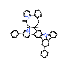 C=C1CC2(C)[n+]3cc(-c4ccccc4)ccc3-c3cc4c5cc(-c6ccccc6)cc6c7ccccc7n(c4cc3C2(C)CCc2ccccc2-c2cccc[n+]21)c65